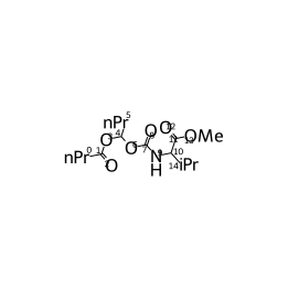 CCCC(=O)OC(CCC)OC(=O)NC(C(=O)OC)C(C)C